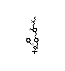 CCOC(=O)CCc1ccc(OCc2ccc(Cn3nc(C(C)(C)C)cc3OCc3ccccc3)cc2)cc1F